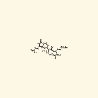 CNCCC1=C2C(=O)C(c3ccc4[nH]cc(CCN(C)C)c4c3O)=CC=C2NC1=O